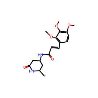 COc1ccc(C=CC(=O)NC2CC(=O)NC(C)C2)c(OC)c1OC